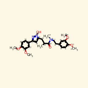 COc1ccc(CCN(C)C(=O)C(C)Cc2cc(-c3ccc(OC)c(OC)c3)nn2O)cc1OC